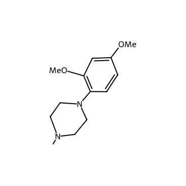 COc1ccc(N2CCN(C)CC2)c(OC)c1